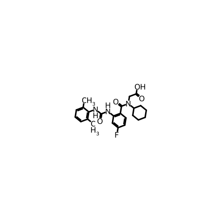 Cc1cccc(C)c1NC(=O)Nc1cc(F)ccc1C(=O)N(CC(=O)O)C1CCCCC1